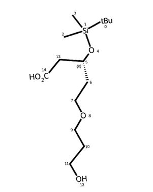 CC(C)(C)[Si](C)(C)O[C@H](CCOCCCO)CC(=O)O